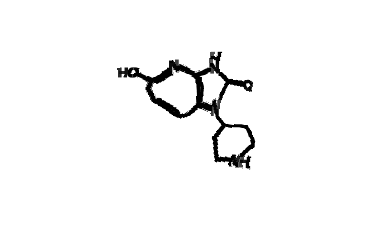 O=c1[nH]c2nc(O)ccc2n1C1CCNCC1